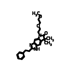 COCCOCCN1C(=O)C(C)(C)c2cc3[nH]c(CCc4ccccc4)nc3cc21